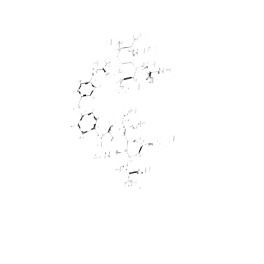 CC(=O)N[C@H]1[C@H]([C@H](OC(=O)Nc2ccc(Oc3ccc(NC(=O)O[C@@H]([C@@H]4OC(C(=O)O)=C[C@H](NC(=N)N)[C@H]4NC(C)=O)[C@@H](O)CO)cc3)cc2)[C@H](O)CO)OC(C(=O)O)=C[C@@H]1NC(=N)N